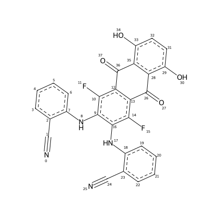 N#Cc1ccccc1Nc1c(F)c2c(c(F)c1Nc1ccccc1C#N)C(=O)c1c(O)ccc(O)c1C2=O